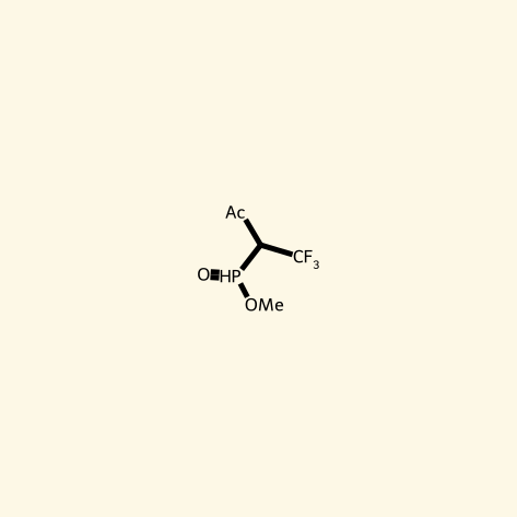 CO[PH](=O)C(C(C)=O)C(F)(F)F